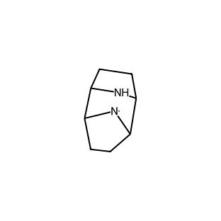 C1CC2[N]C1C1CCC2N1